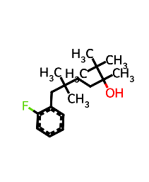 CC(C)(CCC(C)(O)C(C)(C)C)Cc1ccccc1F